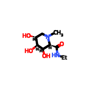 CCNC(=O)[C@@H]1[C@@H](O)[C@@H](O)[C@H](O)CN1C